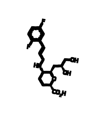 O=C(O)[C@@H]1CC[C@@H](NC/C=C/c2cc(F)ccc2F)[C@@H](C[C@@H](O)CO)O1